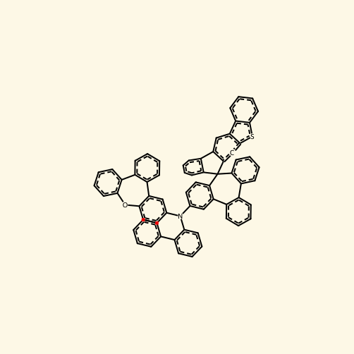 c1ccc(-c2ccccc2N(c2ccc3c(c2)-c2ccccc2-c2ccccc2O3)c2ccc3c(c2)-c2ccccc2-c2ccccc2C32c3ccccc3-c3cc4c(cc32)sc2ccccc24)cc1